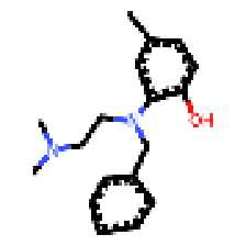 Cc1ccc(O)c(N(CCN(C)C)Cc2ccccc2)c1